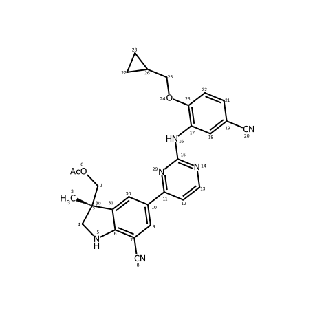 CC(=O)OC[C@@]1(C)CNc2c(C#N)cc(-c3ccnc(Nc4cc(C#N)ccc4OCC4CC4)n3)cc21